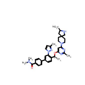 Cc1ccn(-c2cc(-c3ccc(C(=O)N(C)C)cc3)ccc2[C@@H](Oc2cc(N3CCC4(CC3)CNC(C(=O)O)C4)nc(C)n2)C(F)(F)F)n1